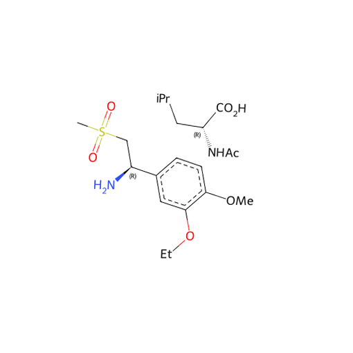 CC(=O)N[C@H](CC(C)C)C(=O)O.CCOc1cc([C@@H](N)CS(C)(=O)=O)ccc1OC